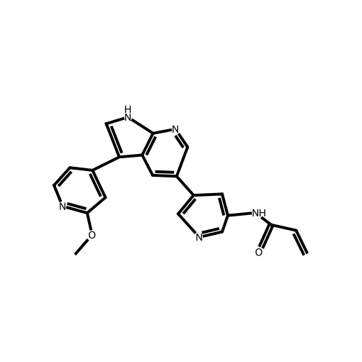 C=CC(=O)Nc1cncc(-c2cnc3[nH]cc(-c4ccnc(OC)c4)c3c2)c1